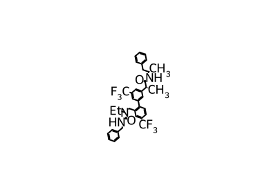 CCN(Cc1cc(C(F)(F)F)ccc1-c1cc([C@@H](C)C(=O)N[C@H](C)Cc2ccccc2)cc(C(F)(F)F)c1)C(=O)NCc1ccccc1